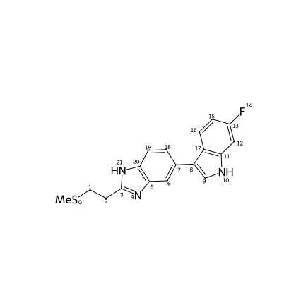 CSCCc1nc2cc(-c3c[nH]c4cc(F)ccc34)ccc2[nH]1